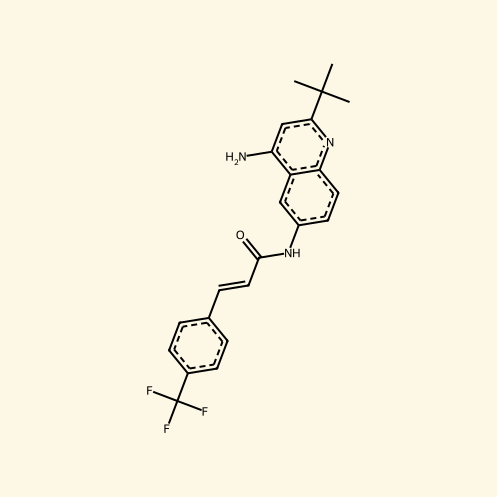 CC(C)(C)c1cc(N)c2cc(NC(=O)C=Cc3ccc(C(F)(F)F)cc3)ccc2n1